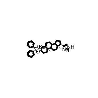 CC(C)(C)[Si](O[C@H]1CC[C@@]2(C)C(=CCC3C2CC[C@@]2(C)C3CC[C@@H]2c2c[nH]nn2)C1)(c1ccccc1)c1ccccc1